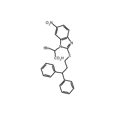 CC(C)(C)C(C(=O)O)n1c(SCCC(c2ccccc2)c2ccccc2)nc2ccc([N+](=O)[O-])cc21